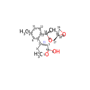 CC/C(=C\C(=O)O)c1cc(C)ccc1[C@@H](C)OC[C@H]1CO1